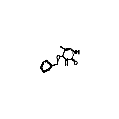 CC1=CNC(=O)NC1OCc1ccccc1